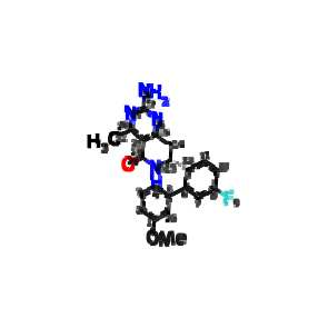 COc1cccc(-c2cc(F)ccc2[C@H]2Cc3nc(N)nc(C)c3C(=O)N2)c1